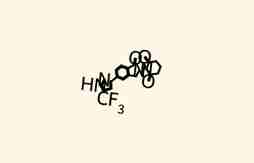 O=C1c2ccc(-c3cc(C(F)(F)F)[nH]n3)cc2CN1N1C(=O)CCCC1=O